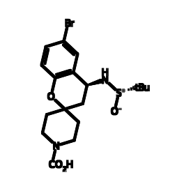 CC(C)(C)[S@+]([O-])N[C@H]1CC2(CCN(C(=O)O)CC2)Oc2ccc(Br)cc21